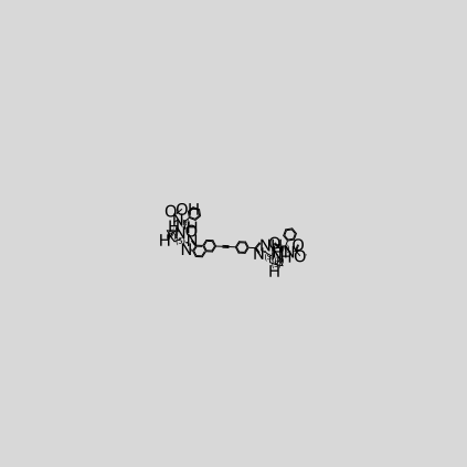 COC(=O)N[C@@H](C(=O)N1[C@@H]2C[C@H]2C[C@H]1c1nc(-c2ccc(C#Cc3ccc4c(ccc5nc([C@@H]6C[C@H]7C[C@H]7N6C(=O)[C@@H](c6ccccc6)N(C)C(=O)O)[nH]c54)c3)cc2)c[nH]1)c1ccccc1